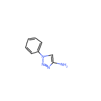 Nc1cn(-c2ccccc2)nn1